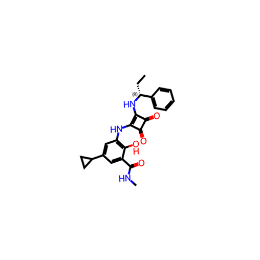 CC[C@@H](Nc1c(Nc2cc(C3CC3)cc(C(=O)NC)c2O)c(=O)c1=O)c1ccccc1